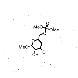 CO[C@@H]1O[C@H](COP(=O)(OC)OC)C[C@@H](O)[C@H]1O